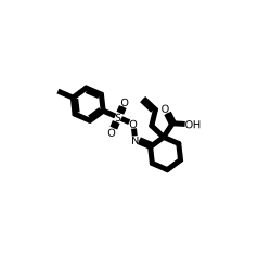 C=CCC1(C(=O)O)CCCC/C1=N/OS(=O)(=O)c1ccc(C)cc1